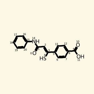 O=C(C=C(S)c1ccc(C(=O)O)cc1)Nc1ccccc1